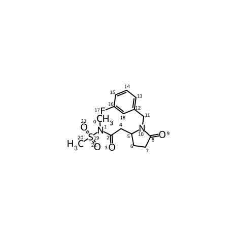 CN(C(=O)CC1CCC(=O)N1Cc1cccc(F)c1)S(C)(=O)=O